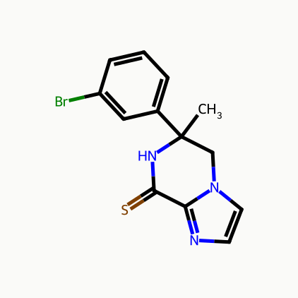 CC1(c2cccc(Br)c2)Cn2ccnc2C(=S)N1